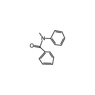 CN(C(=O)c1ccccc1)c1ccccc1